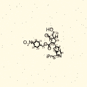 CC(C)Sc1ncn2cc(C3=C(C(=O)OCc4ccc([N+](=O)[O-])cc4)N4C(=O)[C@H]([C@@H](C)O)[C@H]4C3)sc12